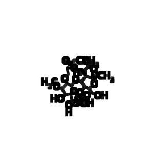 C=CS(=O)(=O)CCOC1C(OC2C(NC(C)=O)C(OC)OC(CO)C2OS(=O)(=O)O)OC(C(=O)O)C(O)C1OC